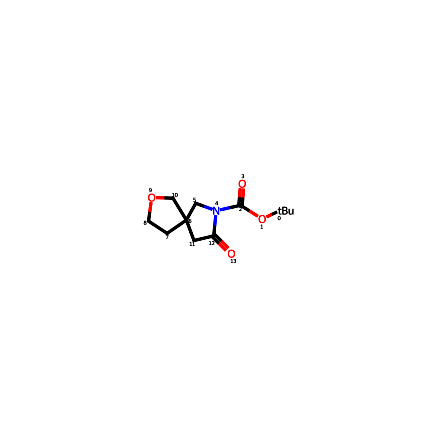 CC(C)(C)OC(=O)N1CC2(CCOC2)CC1=O